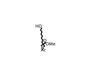 COC(=O)C1(CCCCCCCCO)CN(C(C)=O)C1